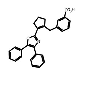 O=C(O)c1cccc(CC2=C(c3nc(-c4ccccc4)c(-c4ccccc4)o3)CCC2)c1